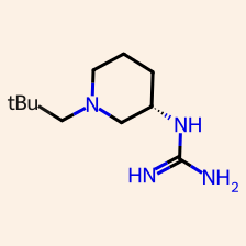 CC(C)(C)CN1CCC[C@H](NC(=N)N)C1